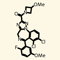 COc1ccc(F)c(C2=NCc3nc(C(=O)N4CC(OC)C4)nn3-c3ccc(Cl)c(Cl)c32)c1